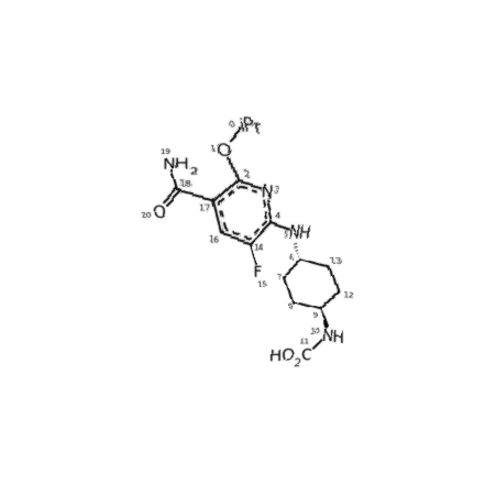 CC(C)Oc1nc(N[C@H]2CC[C@H](NC(=O)O)CC2)c(F)cc1C(N)=O